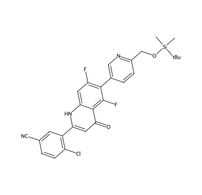 CC(C)(C)[Si](C)(C)OCc1ccc(-c2c(F)cc3[nH]c(-c4cc(C#N)ccc4Cl)cc(=O)c3c2F)cn1